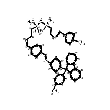 Cc1ccc(/C=N/CC[Si](C)(C)O[Si](C)(C)CC/N=C\c2ccc(/C=N/c3ccc(C4(c5ccc(C)cc5)c5ccccc5-c5ccccc54)cc3)cc2)cc1